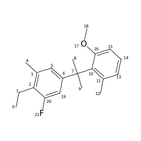 CCc1c(C)cc(C(C)(C)c2c(C)cccc2OC)cc1F